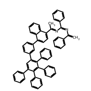 C=C(/N=C(\N=C(/C)c1ccc(-c2cccc(-c3cc(-c4ccccc4)c(-c4ccccc4)c(-c4ccccc4)c3-c3ccccc3)c2)c2ccccc12)c1ccccc1)c1ccccc1